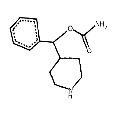 NC(=O)OC(c1ccccc1)C1CCNCC1